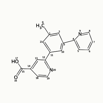 Cc1cc(-c2ccccn2)cc(-c2cc(C(=O)O)ccn2)c1